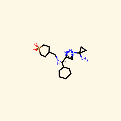 NC1(n2cc([C@@H](NCC3CCS(=O)(=O)CC3)C3CCCCC3)nn2)CC1